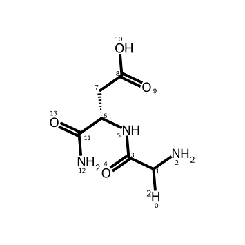 [2H]C(N)C(=O)N[C@@H](CC(=O)O)C(N)=O